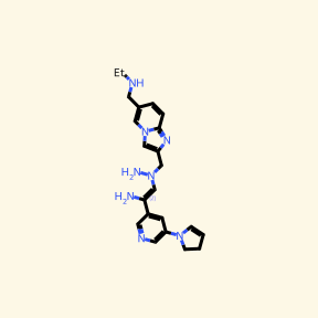 CCNCc1ccc2nc(CN(N)/C=C(\N)c3cncc(N4C=CCC4)c3)cn2c1